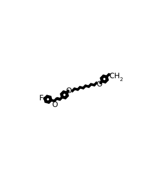 C=Cc1ccc(OCCCCCCCCCCOc2ccc(/C=C/C(=O)c3ccc(F)cc3)cc2)cc1